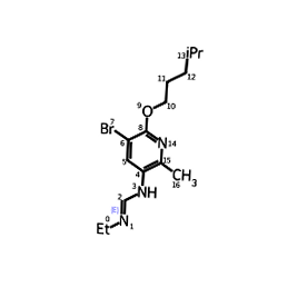 CC/N=C/Nc1cc(Br)c(OCCCC(C)C)nc1C